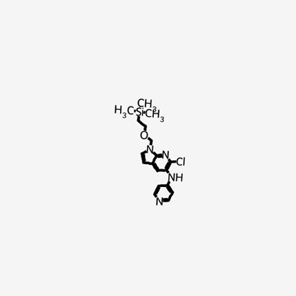 C[Si](C)(C)CCOCn1ccc2cc(Nc3ccncc3)c(Cl)nc21